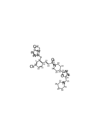 Cc1nnn(Cc2cc(Cl)ccc2/C=C/C(=O)N2CCC(c3nnc(CN4CCCCC4)o3)CC2)n1